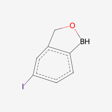 Ic1ccc2c(c1)COB2